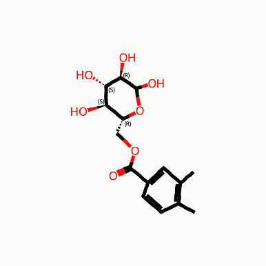 Cc1ccc(C(=O)OC[C@H]2OC(O)[C@H](O)[C@@H](O)[C@@H]2O)cc1C